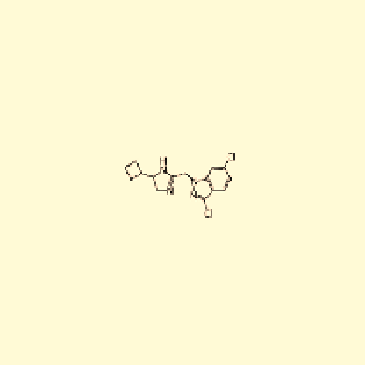 Clc1ccc2c(Cl)nn(CC3=NCC(C4CCC4)N3)c2c1